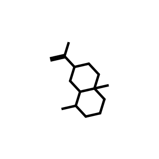 C=C(C)C1CCC2(C)CCCC(C)C2C1